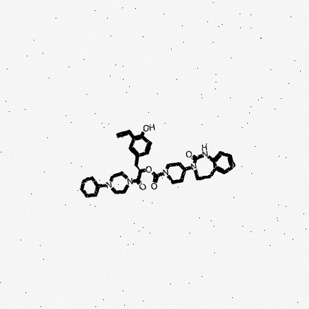 C=Cc1cc(C[C@@H](OC(=O)N2CCC(N3CCc4ccccc4NC3=O)CC2)C(=O)N2CCN(C3CCCCC3)CC2)ccc1O